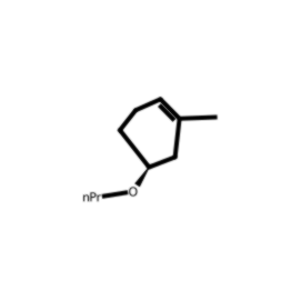 CCCO[C@H]1CCC=C(C)C1